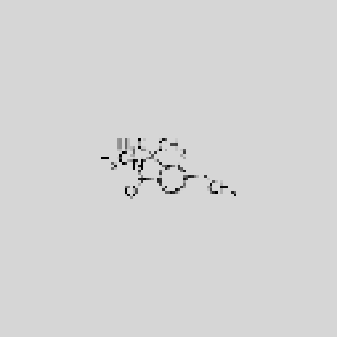 CCc1ccc2c(c1)C(C)(C)N(C)C2=O